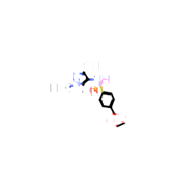 Cc1nn(C)c(C)c1NS(=O)(=O)c1ccc(C2OCCO2)cc1